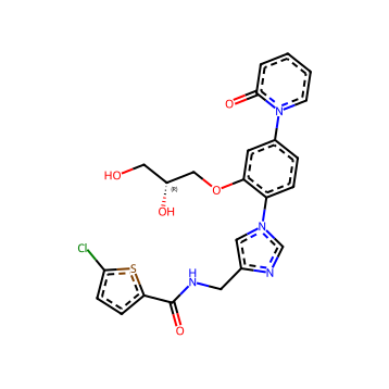 O=C(NCc1cn(-c2ccc(-n3ccccc3=O)cc2OC[C@H](O)CO)cn1)c1ccc(Cl)s1